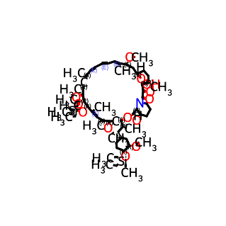 CCO[C@@H]1C[C@@H]([C@H](C)C[C@@H]2CC[C@@H](O[Si](CC)(CC)CC)[C@H](OC)C2)OC(=O)[C@@H]2CCCCN2C(=O)C(=O)[C@]2(O)O[C@@H](CC[C@H]2C)C[C@H](OC)/C(C)=C/C=C/C=C/[C@@H](C)C[C@@H](C)C(=O)[C@H](OC)[C@H](O[Si](CC)(CC)CC)/C(C)=C/[C@H]1C